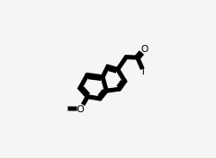 COc1ccc2cc(CC(=O)I)ccc2c1